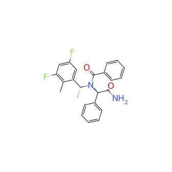 Cc1c(F)cc(F)cc1[C@@H](C)N(C(=O)c1ccccc1)[C@@H](C(N)=O)c1ccccc1